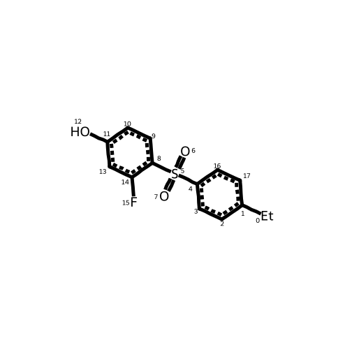 CCc1ccc(S(=O)(=O)c2ccc(O)cc2F)cc1